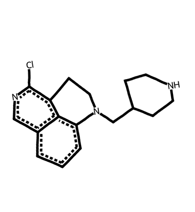 Clc1ncc2cccc3c2c1CCN3CC1CCNCC1